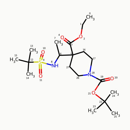 CCOC(=O)C1(C(C)NS(=O)(=O)C(C)(C)C)CCN(C(=O)OC(C)(C)C)CC1